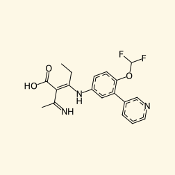 CC/C(Nc1ccc(OC(F)F)c(-c2cccnc2)c1)=C(/C(C)=N)C(=O)O